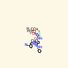 Cc1cc2c(C#N)cccc2n1-c1nc(NCc2ccccc2)c2ccc(C(=O)NC3CN(C(=O)OC(C)(C)C)CC3(F)F)n2n1